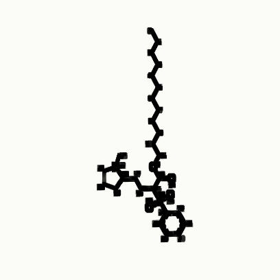 CCCCCCCCCCCCOC(=O)C(=CC=C1CCCN1C)S(=O)(=O)c1ccccc1